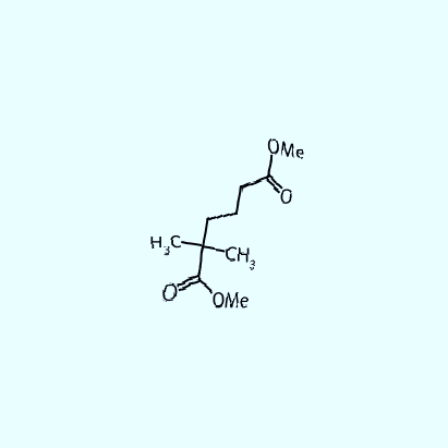 COC(=O)CCCC(C)(C)C(=O)OC